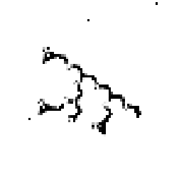 C=COCC(COCC(COCC1CO1)OCC(CCl)OCC1CO1)OCC1CO1